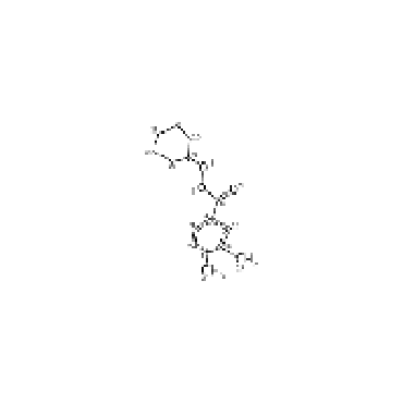 Cc1ccc(C(=O)OO[C]2CCCCC2)cc1C